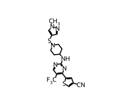 Cn1cc(SN2CCC(Nc3ncc(C(F)(F)F)c(-c4cc(C#N)cs4)n3)CC2)cn1